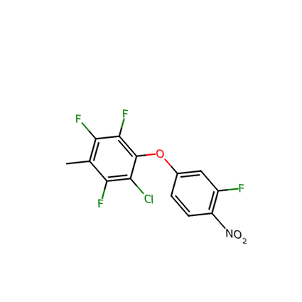 Cc1c(F)c(F)c(Oc2ccc([N+](=O)[O-])c(F)c2)c(Cl)c1F